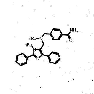 CCCCN(Cc1ccc(C(N)=O)cc1)Cc1c(-c2ccccc2)nc(-c2ccccc2)n1CCCC